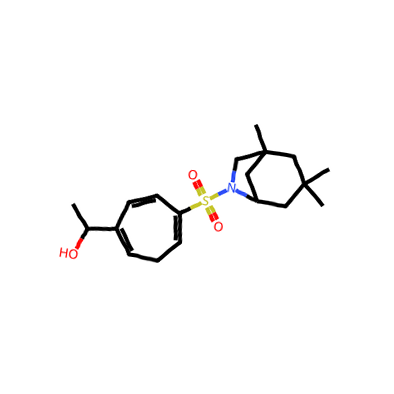 CC(O)C1=CCC=C(S(=O)(=O)N2CC3(C)CC2CC(C)(C)C3)C=C1